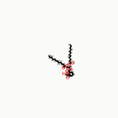 CCCCCCCCCCCC(=O)OCC(COC(=O)CCCCCCCCCCC)OC(=O)C1C=CC=CC1(O)C(C)=O